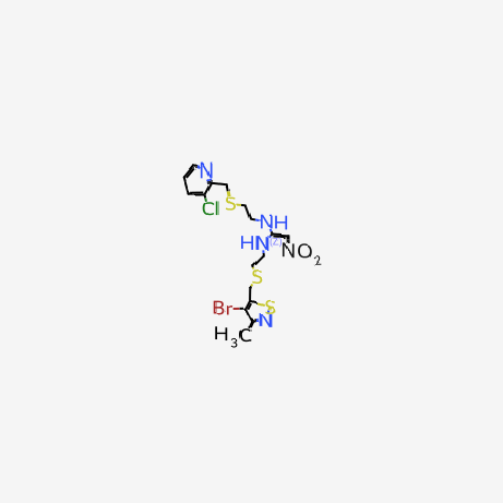 Cc1nsc(CSCCN/C(=C\[N+](=O)[O-])NCCSCc2ncccc2Cl)c1Br